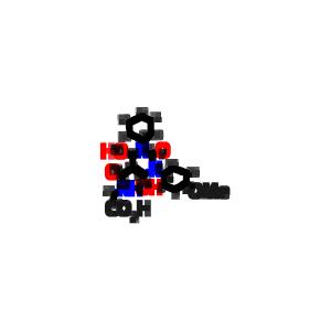 CO[C@H]1CC[C@H](N2C(=O)N(C3CCCCC3)C(O)C(C(=O)NCC(=O)O)=C2O)CC1